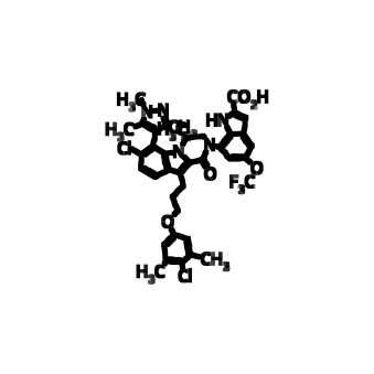 Cc1cc(OCCCc2c3n(c4c(-c5c(C)nn(C)c5C)c(Cl)ccc24)[C@H](C)CN(c2cc(OC(F)(F)F)cc4cc(C(=O)O)[nH]c24)C3=O)cc(C)c1Cl